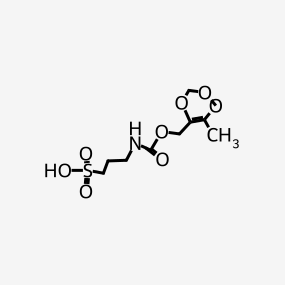 CC1=C(COC(=O)NCCCS(=O)(=O)O)OCOO1